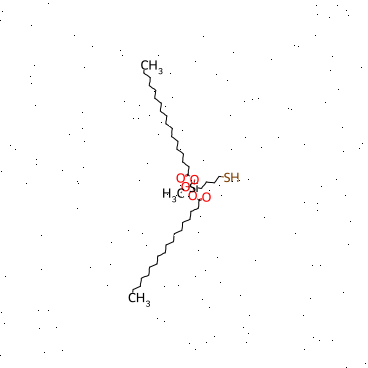 CCCCCCCCCCCCCCCCCC(=O)O[Si](CCCCS)(OC)OC(=O)CCCCCCCCCCCCCCCCC